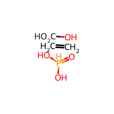 C=C.O=C(O)O.O=[PH](O)O